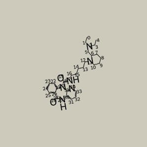 CCN(CC)CC1CCCCN1CCCCCNC(=O)N1c2ccccc2C(=O)Nc2cccnc21